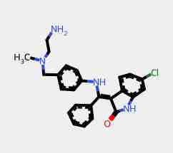 CN(CCN)Cc1ccc(NC(=C2C(=O)Nc3cc(Cl)ccc32)c2ccccc2)cc1